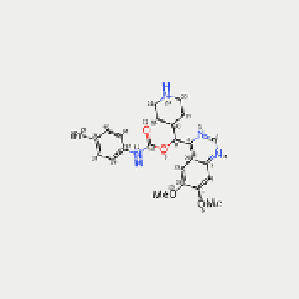 COc1cc2ncnc(C(OC(=O)Nc3ccc(C(C)C)cc3)C3CCNCC3)c2cc1OC